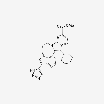 COC(=O)c1ccc2c(C3CCCCC3)c3n(c2c1)CCCn1cc(-c2nnn[nH]2)c2cccc-3c21